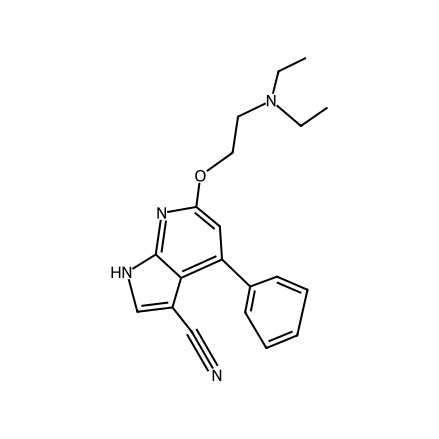 CCN(CC)CCOc1cc(-c2ccccc2)c2c(C#N)c[nH]c2n1